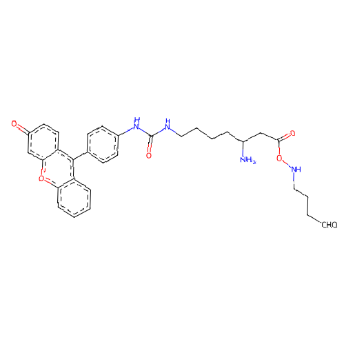 NC(CCCCNC(=O)Nc1ccc(-c2c3ccc(=O)cc-3oc3ccccc23)cc1)CC(=O)ONCCCC=O